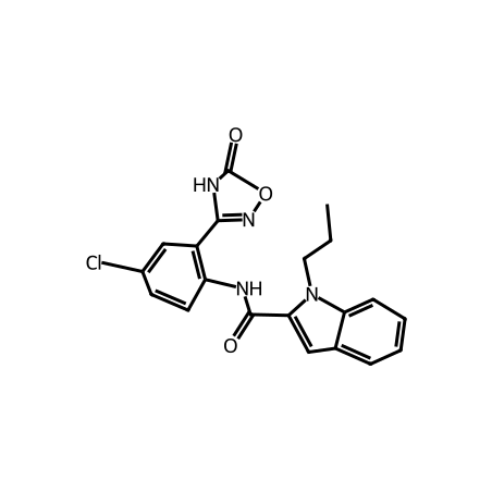 CCCn1c(C(=O)Nc2ccc(Cl)cc2-c2noc(=O)[nH]2)cc2ccccc21